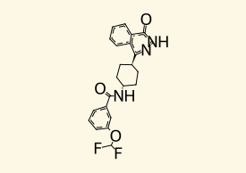 O=C(N[C@H]1CC[C@H](c2n[nH]c(=O)c3ccccc32)CC1)c1cccc(OC(F)F)c1